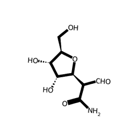 NC(=O)C(C=O)[C@@H]1O[C@H](CO)[C@@H](O)[C@H]1O